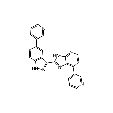 c1cncc(-c2ccc3[nH]nc(-c4nc5c(-c6cccnc6)ccnc5[nH]4)c3c2)c1